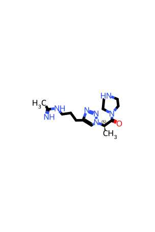 CC(=N)NCCCc1cn([C@@H](C)C(=O)N2CCNCC2)nn1